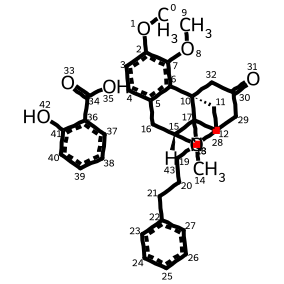 COc1ccc2c(c1OC)[C@]13CCN(C)[C@H](C2)C1(OCCCc1ccccc1)CCC(=O)C3.O=C(O)c1ccccc1O